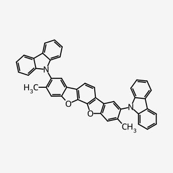 Cc1cc2oc3c(ccc4c5cc(-n6c7ccccc7c7ccccc76)c(C)cc5oc43)c2cc1-n1c2ccccc2c2ccccc21